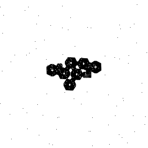 N#Cc1cc(-c2ccccc2)cc(-c2c(-c3ccc4c(c3)sc3ccccc34)cccc2-c2cccc3c2oc2ccccc23)c1